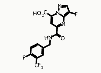 O=C(NCc1ccc(F)c(C(F)(F)F)c1)c1cc(C(=O)O)n2ncc(F)c2n1